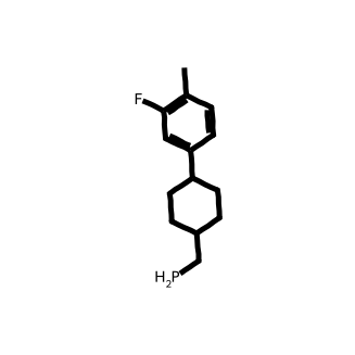 Cc1ccc(C2CCC(CP)CC2)cc1F